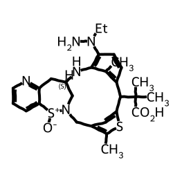 CCN(N)c1ccc2c(C)c1N[C@H]1Cc3ncccc3[S+]([O-])N(Cc3cc(sc3C)C2C(C)(C)C(=O)O)C1